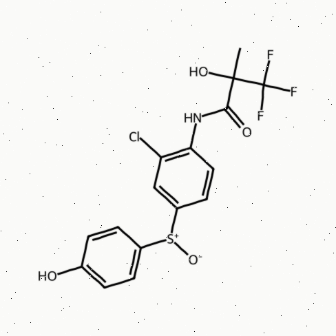 CC(O)(C(=O)Nc1ccc([S+]([O-])c2ccc(O)cc2)cc1Cl)C(F)(F)F